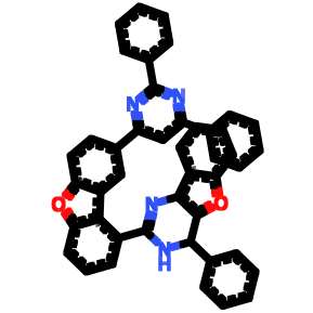 c1ccc(-c2cc(-c3ccc4oc5cccc(C6=Nc7c(oc8ccccc78)C(c7ccccc7)N6)c5c4c3)nc(-c3ccccc3)n2)cc1